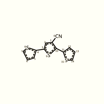 N#Cc1cc(-c2cccs2)sc1-c1cccs1